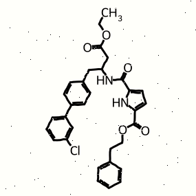 CCOC(=O)CC(Cc1ccc(-c2cccc(Cl)c2)cc1)NC(=O)c1ccc(C(=O)OCCc2ccccc2)[nH]1